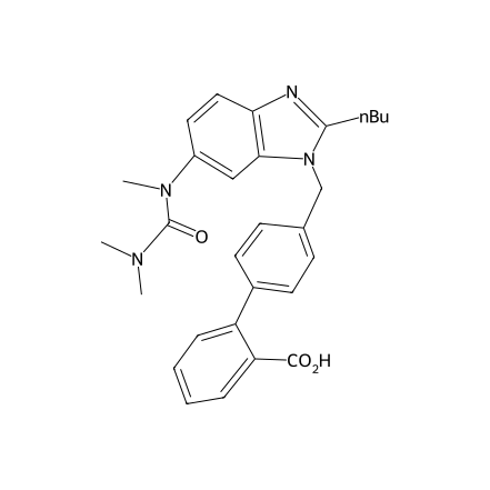 CCCCc1nc2ccc(N(C)C(=O)N(C)C)cc2n1Cc1ccc(-c2ccccc2C(=O)O)cc1